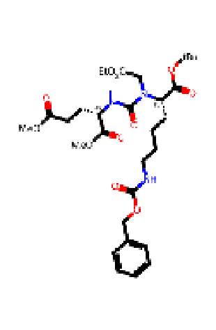 CCOC(=O)CN(C(=O)N[C@@H](CCC(=O)OC)C(=O)OC)[C@@H](CCCCNC(=O)OCc1ccccc1)C(=O)OC(C)(C)C